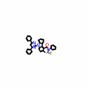 CC(=O)N(C(=O)c1c(C)ccc2c1c1ccccc1n2-c1nc(-c2ccccc2)cc(-c2ccccc2)n1)c1ccccc1